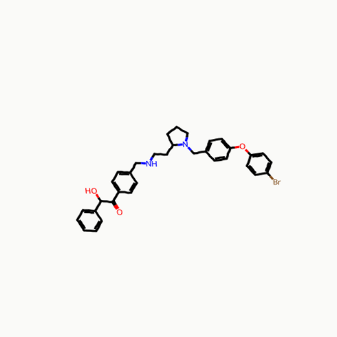 O=C(c1ccc(CNCCC2CCCN2Cc2ccc(Oc3ccc(Br)cc3)cc2)cc1)C(O)c1ccccc1